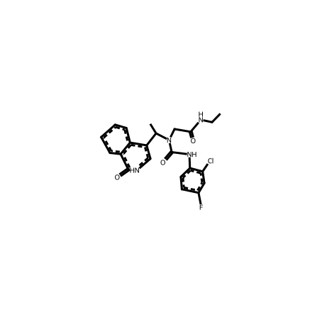 CCNC(=O)CN(C(=O)Nc1ccc(F)cc1Cl)C(C)c1c[nH]c(=O)c2ccccc12